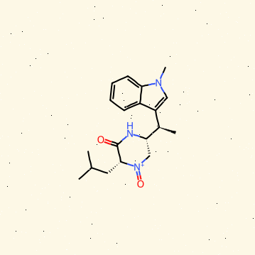 CC(C)C[C@@H]1C(=O)N[C@H]([C@H](C)c2cn(C)c3ccccc23)C[N+]1=O